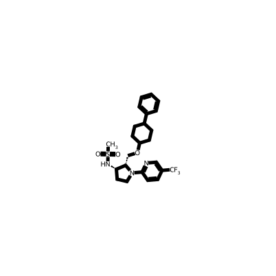 CS(=O)(=O)N[C@H]1CCN(c2ccc(C(F)(F)F)cn2)[C@H]1COC1CCC(c2ccccc2)CC1